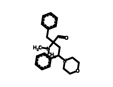 CN(C)C(C=O)(Cc1ccccc1)CC(c1ccccc1)N1CCOCC1